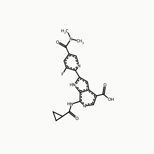 CN(C)C(=O)c1cnc(-c2cc3c(C(=O)O)cnc(NC(=O)C4CC4)c3[nH]2)c(F)c1